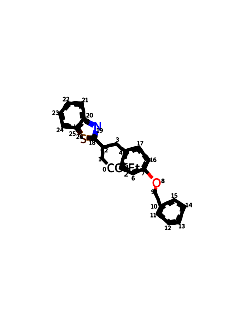 CCOC(=O)CC(Cc1ccc(OCc2ccccc2)cc1)c1nc2ccccc2s1